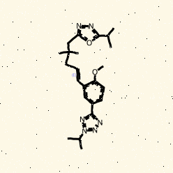 COc1ccc(-c2nnn(C(C)C)n2)cc1/C=C/CC(C)(C)Cc1nnc(C(C)C)o1